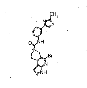 Cc1nc(-c2cccc(NC(=O)N3CCc4c(c(Br)nc5[nH]ncc45)C3)c2)cs1